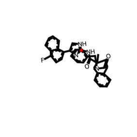 CC1(C(=O)Nc2nc(-c3ccc(F)c4ccccc34)c[nH]2)CC2C(=O)N(Cc3ccccc3)C1c1ccccc12